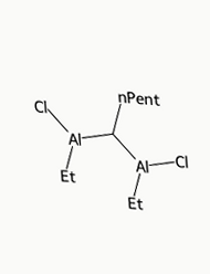 CCCCC[CH]([Al]([Cl])[CH2]C)[Al]([Cl])[CH2]C